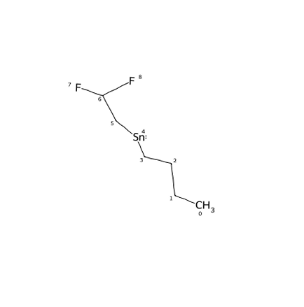 CCC[CH2][Sn][CH2]C(F)F